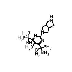 Bc1c(C(B)(B)B)nc(N2CC3CNCC3C2)nc1C(B)(B)B